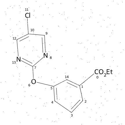 CCOC(=O)c1cccc(Oc2ncc(Cl)cn2)c1